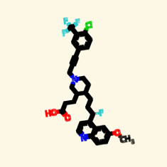 COc1ccc2nccc([C@@H](F)CCC3CCN(CC#Cc4ccc(Cl)c(C(F)(F)F)c4)CC3CCC(=O)O)c2c1